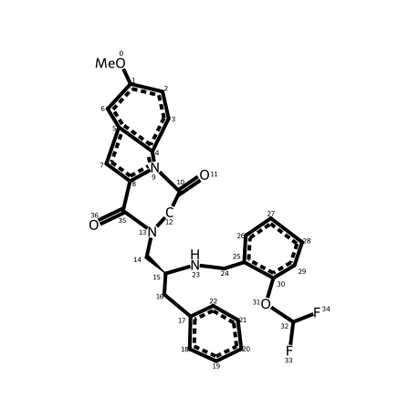 COc1ccc2c(c1)cc1n2C(=O)CN(C[C@H](Cc2ccccc2)NCc2ccccc2OC(F)F)C1=O